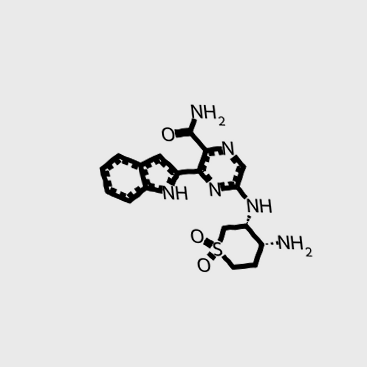 NC(=O)c1ncc(N[C@H]2CS(=O)(=O)CC[C@H]2N)nc1-c1cc2ccccc2[nH]1